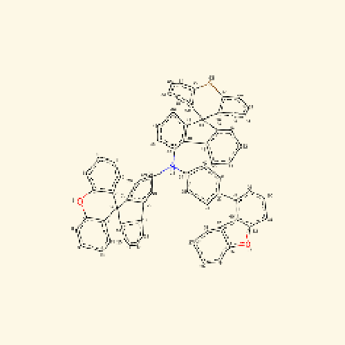 c1ccc2c(c1)Oc1ccccc1C21c2ccccc2-c2cc(N(c3ccc(-c4cccc5oc6ccccc6c45)cc3)c3cccc4c3-c3ccccc3C43c4ccccc4Sc4ccccc43)ccc21